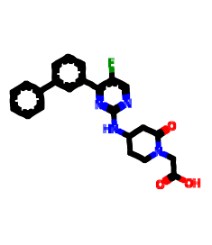 O=C(O)CN1CCC(Nc2ncc(F)c(-c3cccc(-c4ccccc4)c3)n2)CC1=O